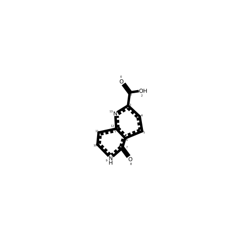 O=C(O)c1ccc2c(=O)[nH]ccc2n1